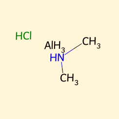 CNC.Cl.[AlH3]